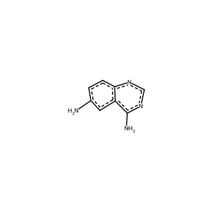 Nc1ccc2ncnc(N)c2c1